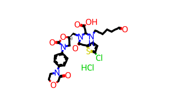 Cl.O=CCCCCNC(C(=O)O)N(C[C@H]1CN(c2ccc(N3CCOCC3=O)cc2)C(=O)O1)C(=O)c1ccc(Cl)s1